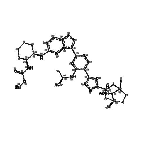 CC(=O)N[C@@H]1[C@@H]2CC[C@H]1CN(c1nnc(-c3cnc(-c4ccc5cnc(N[C@@H]6CCCC[C@@H]6NC(=O)OC(C)(C)C)nn45)cc3N[C@H](C)C#N)s1)C2